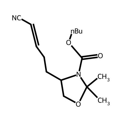 CCCCOC(=O)N1C(CCC=CC#N)COC1(C)C